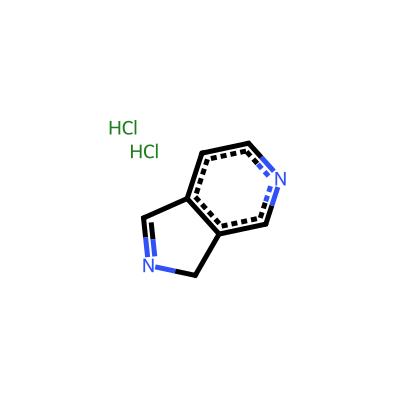 C1=NCc2cnccc21.Cl.Cl